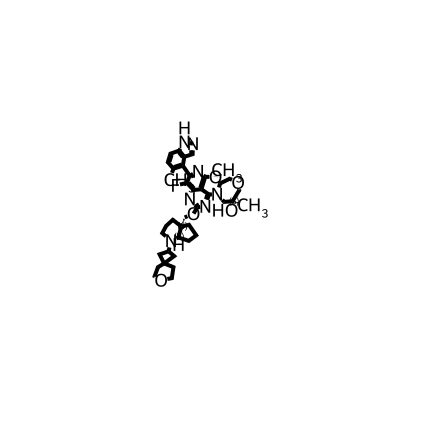 COc1nc(-c2c(C)ccc3[nH]ncc23)c(F)c2nc(OC[C@]34CCC[C@H]3N(C3CC5(CCOCC5)C3)CCC4)nc(N3CCOC[C@@](C)(O)C3)c12